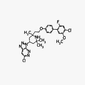 COc1cc(-c2ccc(OCCC3(C)CC(n4nnc5cc(Cl)nnc54)CC(C)(C)N3)cc2)c(F)cc1Cl